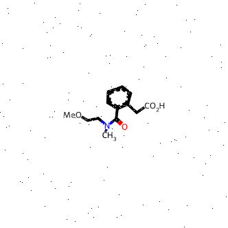 COCCN(C)C(=O)c1ccccc1CC(=O)O